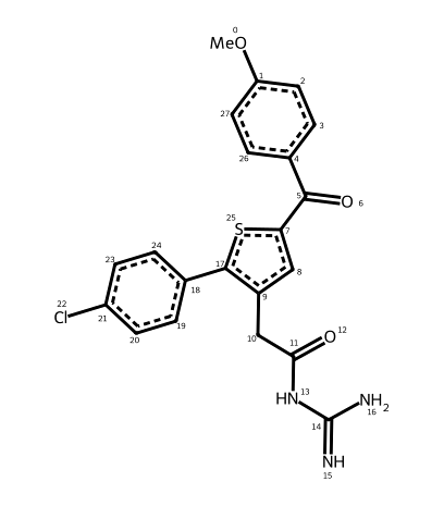 COc1ccc(C(=O)c2cc(CC(=O)NC(=N)N)c(-c3ccc(Cl)cc3)s2)cc1